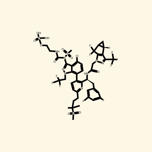 CC(C)(CCc1ccc(-c2ccc(Cl)c3c(N(C(=O)NCCOP(=O)(O)O)S(C)(=O)=O)nn(CC(F)(F)F)c23)c([C@H](Cc2cc(F)cc(F)c2)NC(=O)Cn2nc(C(F)(F)F)c3c2C(F)(F)C2C[C@H]32)n1)S(C)(=O)=O